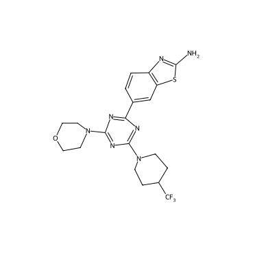 Nc1nc2ccc(-c3nc(N4CCOCC4)nc(N4CCC(C(F)(F)F)CC4)n3)cc2s1